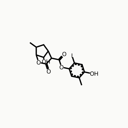 Cc1cc(OC(=O)C2C(=O)OC3C(C)CC2C3O)c(I)cc1O